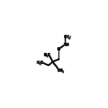 [CH2]NOCC(C)(C)CC